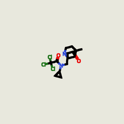 CC12CCN(CC1)C(CN(C(=O)C(Cl)(Cl)Cl)C1CC1)C2=O